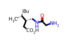 CC[C@@H](C)[C@@H](C)[C@H](CNC(=O)CN)CC(=O)O